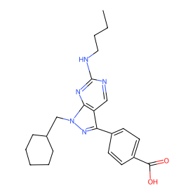 CCCCNc1ncc2c(-c3ccc(C(=O)O)cc3)nn(CC3CCCCC3)c2n1